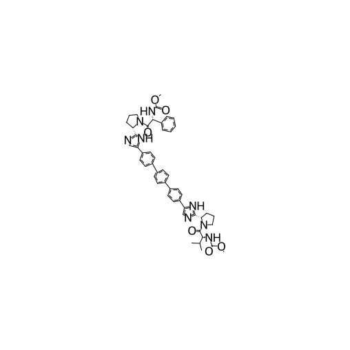 COC(=O)N[C@H](C(=O)N1CCC[C@H]1c1ncc(-c2ccc(-c3ccc(-c4ccc(-c5cnc([C@@H]6CCCN6C(=O)[C@H](NC(=O)OC)c6ccccc6)[nH]5)cc4)cc3)cc2)[nH]1)C(C)C